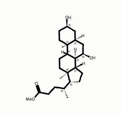 COC(=O)CC[C@@H](C)[C@H]1CC[C@H]2[C@@H]3[C@H](O)C[C@@H]4C[C@H](O)CC[C@]4(C)[C@H]3CC[C@]12C